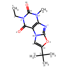 CCn1c(=O)c2c(nc3oc(C(C)(C)C)cn32)n(C)c1=O